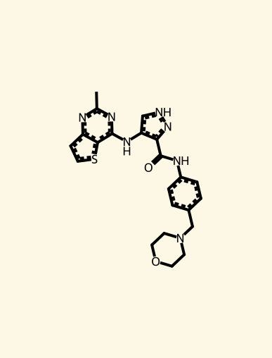 Cc1nc(Nc2c[nH]nc2C(=O)Nc2ccc(CN3CCOCC3)cc2)c2sccc2n1